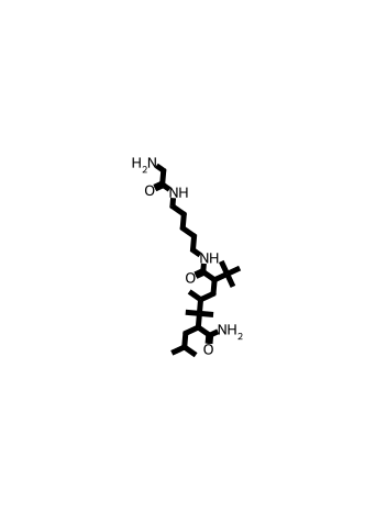 CC(C)CC(C(N)=O)C(C)(C)C(C)CC(C(=O)NCCCCCNC(=O)CN)C(C)(C)C